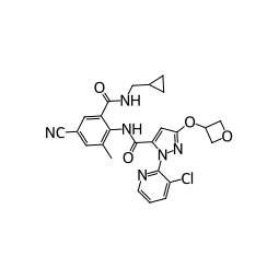 Cc1cc(C#N)cc(C(=O)NCC2CC2)c1NC(=O)c1cc(OC2COC2)nn1-c1ncccc1Cl